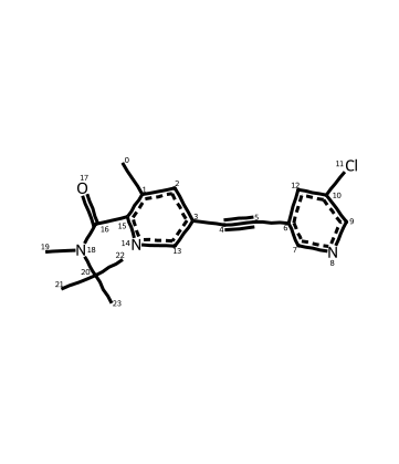 Cc1cc(C#Cc2cncc(Cl)c2)cnc1C(=O)N(C)C(C)(C)C